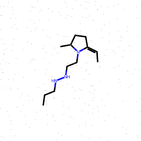 C/C=C1/CCC(C)N1CCNNCCC